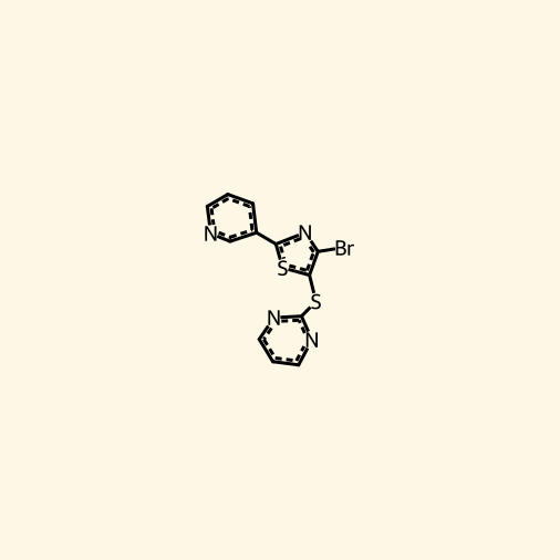 Brc1nc(-c2cccnc2)sc1Sc1ncccn1